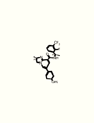 C[C@@H]1CN2C=C(C3=CCC(O)CC3)C=C(C(=O)N[C@H](C)c3cccc(C(F)(F)F)c3F)C2=N1